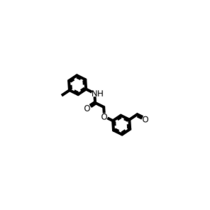 Cc1cccc(NC(=O)COc2cccc(C=O)c2)c1